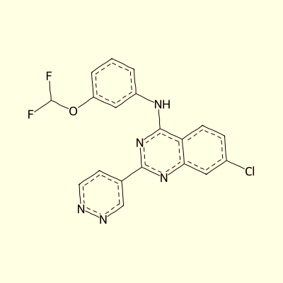 FC(F)Oc1cccc(Nc2nc(-c3ccnnc3)nc3cc(Cl)ccc23)c1